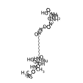 Cc1ncsc1-c1ccc([C@H](C)NC(=O)[C@@H]2C[C@@H](O)CN2C(O)[C@@H](NC(=O)CCCCCCCCCCCCC(=O)N2CCN(CCOc3cccc(N4CCCC(O/C(=C/C(=N)c5ccccc5O)C(=N)N)C4)c3)CC2)C(C)(C)C)cc1